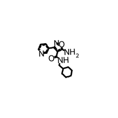 Nc1onc(-c2cccnc2)c1C(=O)NCC1CCCCC1